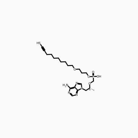 C[C@H](Cn1cnc2c(N)ncnc21)OCP(=O)(O)OCCCOCCCCCCCCC#CS